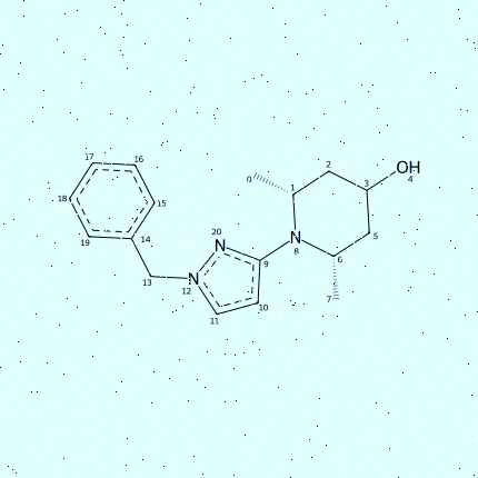 C[C@@H]1CC(O)C[C@H](C)N1c1ccn(Cc2ccccc2)n1